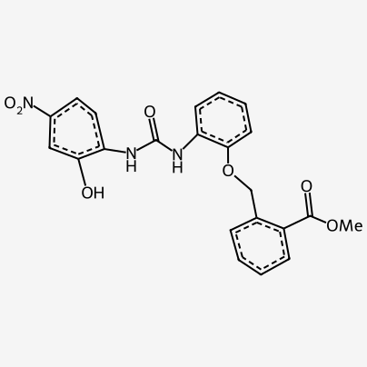 COC(=O)c1ccccc1COc1ccccc1NC(=O)Nc1ccc([N+](=O)[O-])cc1O